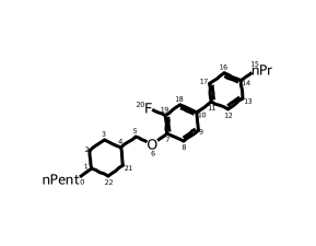 CCCCCC1CCC(COc2ccc(-c3ccc(CCC)cc3)cc2F)CC1